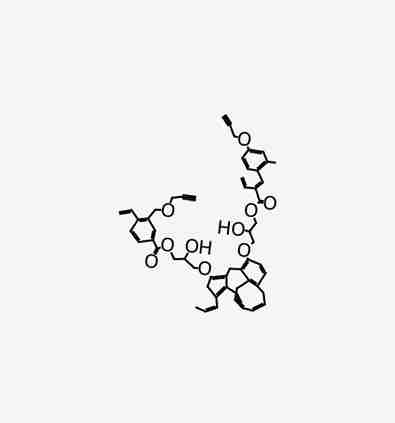 C#CCOCc1cc(C(=O)OCC(O)COC2=C(Cc3c(OCC(O)COC(=O)/C(C=C)=C/c4ccc(OCC#C)cc4C)ccc4c3C/C=C\C=C/C4)C(C=C)=C(/C=C\C)C2)ccc1C=C